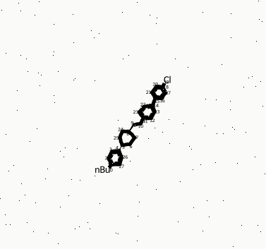 CCCCc1ccc([C@H]2CC[C@H](CCc3ccc(-c4ccc(Cl)cc4)cc3)CC2)cc1